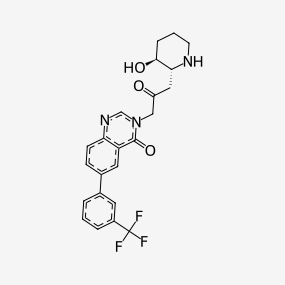 O=C(C[C@H]1NCCC[C@@H]1O)Cn1cnc2ccc(-c3cccc(C(F)(F)F)c3)cc2c1=O